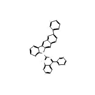 c1ccc(-c2ccc3cc4c(cc3c2)c2ccccc2n4-c2nc(-c3ccccc3)c3ccccc3n2)cc1